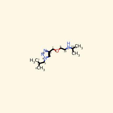 CC(C)Cn1cc(COCCNC(C)C)nn1